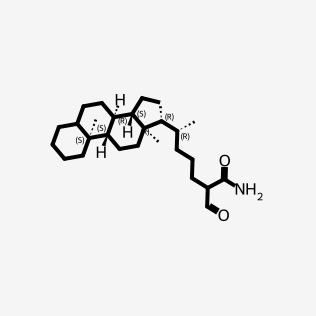 C[C@H](CCCC(C=O)C(N)=O)[C@H]1CC[C@H]2[C@@H]3CCC4CCCC[C@]4(C)[C@H]3CC[C@]12C